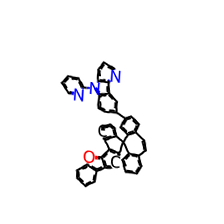 C1=Cc2ccc(-c3ccc4c(c3)c3ncccc3n4-c3ccccn3)cc2C2(c3ccccc31)c1ccccc1-c1c2ccc2c1oc1ccccc12